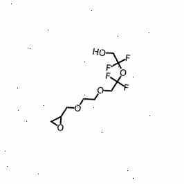 OCC(F)(F)OC(F)(F)COCCOCC1CO1